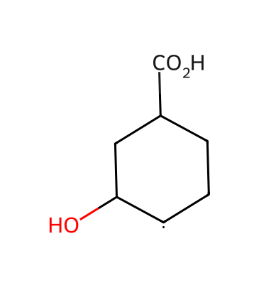 O=C(O)C1CC[CH]C(O)C1